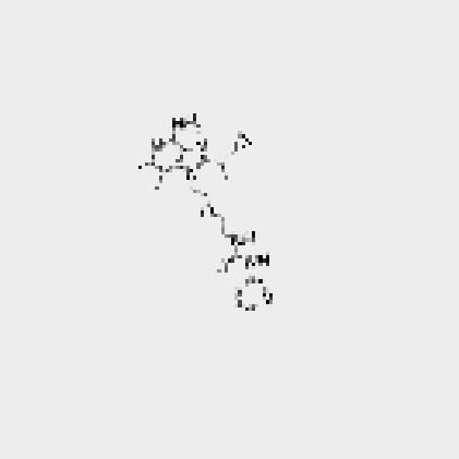 Cc1nc(N)c2nc(C(C)C3CC3)n(CCOCCNC(=O)Nc3cccnc3)c2c1C